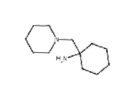 NC1(CN2CCCCC2)CCCCC1